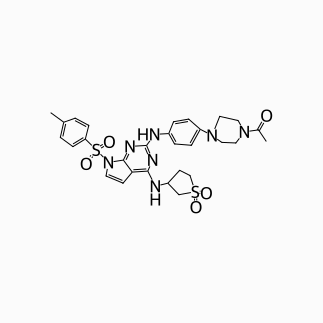 CC(=O)N1CCN(c2ccc(Nc3nc(NC4CCS(=O)(=O)C4)c4ccn(S(=O)(=O)c5ccc(C)cc5)c4n3)cc2)CC1